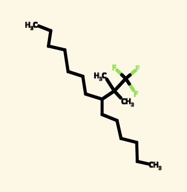 CCCCCCCC(CCCCCC)C(C)(C)C(F)(F)F